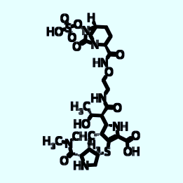 C[C@@H](O)[C@@H](C(=O)NCCONC(=O)[C@@H]1CC[C@@H]2CN1C(=O)N2OS(=O)(=O)O)[C@@H]1NC(C(=O)O)=C(S[C@@H]2CN[C@H](C(=O)N(C)C)C2)[C@@H]1C